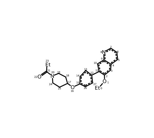 CCOc1cc2cccnc2cc1-c1ccc(OC2CCN(C(=O)CC)CC2)cc1